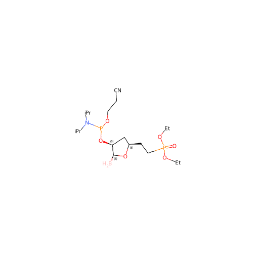 B[C@@H]1O[C@H](CCP(=O)(OCC)OCC)C[C@@H]1OP(OCCC#N)N(C(C)C)C(C)C